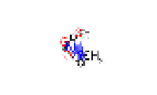 CCOc1ccc(C(=O)NC2(C(=O)NC3CCc4ccccc4-n4c(C)cnc43)CC2)cc1